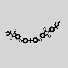 CCCC(C)(CC)c1ccc(N2C(=O)c3ccc(Oc4ccc(C(C)(C)c5ccc(Oc6ccc7c(c6)C(=O)N(C(C)(CC)CC)C7=O)cc5)cc4)cc3C2=O)cc1